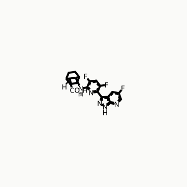 O=C(O)[C@@H]1C2CCC(CC2)C1Nc1nc(-c2n[nH]c3ncc(F)cc23)c(F)cc1F